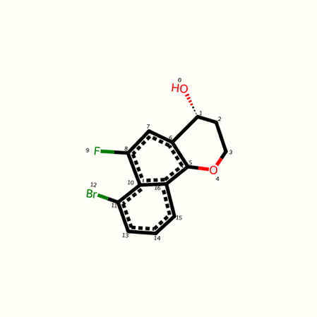 O[C@@H]1CCOc2c1cc(F)c1c(Br)cccc21